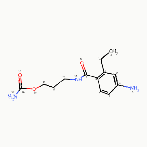 CCc1cc(N)ccc1C(=O)NCCCOC(N)=O